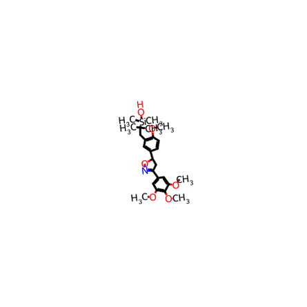 COc1ccc(C2CC(c3cc(OC)c(OC)c(OC)c3)=NO2)cc1CC(C)(C)[Si](C)(C)O